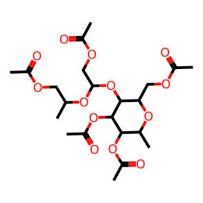 CC(=O)OCC(C)OC(COC(C)=O)OC1C(COC(C)=O)OC(C)C(OC(C)=O)C1OC(C)=O